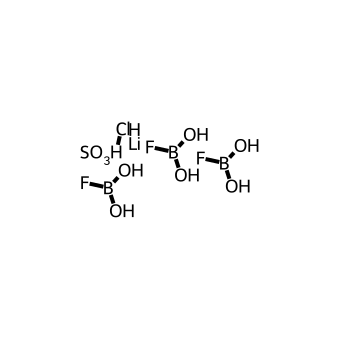 O=S(=O)(O)Cl.OB(O)F.OB(O)F.OB(O)F.[LiH]